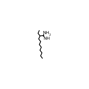 CCCCCCCCC(CC)C(=N)N